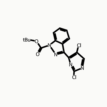 CC(C)(C)OC(=O)n1nc(-c2nc(Cl)ncc2Cl)c2ccccc21